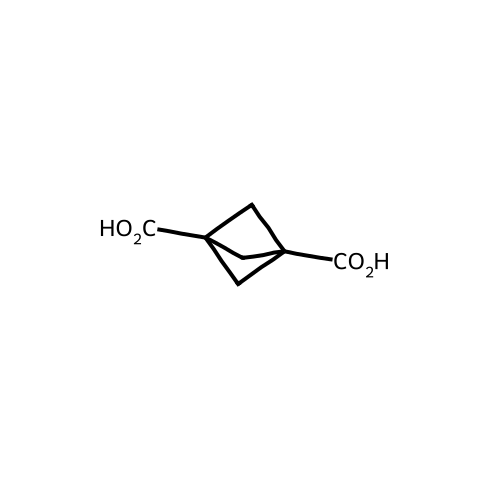 O=C(O)C12CC(C(=O)O)(C1)C2